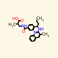 CCCC(Nc1nc2ccccc2cc1C)c1ccc(C(=O)NCC(C)C(=O)O)cc1